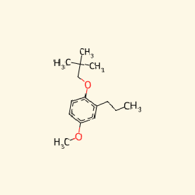 CCCc1cc(OC)ccc1OCC(C)(C)C